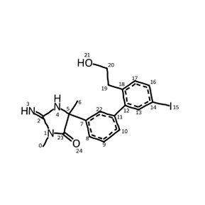 CN1C(=N)NC(C)(c2cccc(-c3cc(I)ccc3CCO)c2)C1=O